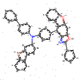 c1ccc(-c2ccc(N(c3ccc(-c4c5nc(-c6ccccc6)oc5cc5oc6ccccc6c45)cc3)c3ccc4c(c3)sc3ccccc34)cc2)cc1